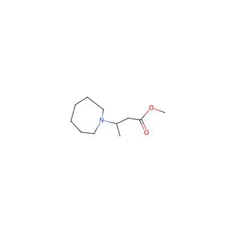 COC(=O)CC(C)N1CCCCCC1